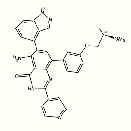 CO[C@H](C)COc1cccc(-c2cc(-c3cccc4[nH]ncc34)c(N)c3c(=O)[nH]c(-c4ccncc4)nc23)c1